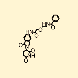 O=C1CCC(N2Cc3cc(NC(=O)COCCNC(=O)c4ccccc4)ccc3C2=O)C(=O)N1